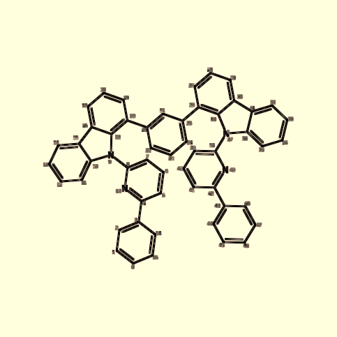 c1ccc(-c2cccc(-n3c4ccccc4c4cccc(-c5cccc(-c6cccc7c8ccccc8n(-c8cccc(-c9ccccc9)n8)c67)c5)c43)n2)cc1